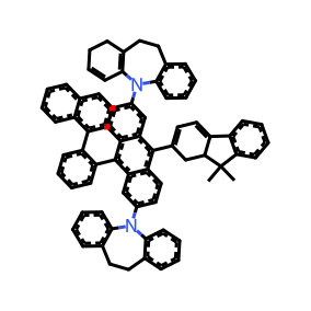 CC1(C)c2ccccc2C2=CC=C(c3c4cc(N5C6=C(CCC=C6)CCc6ccccc65)ccc4c(-c4ccccc4-c4cccc5ccccc45)c4cc(N5c6ccccc6CCc6ccccc65)ccc34)CC21